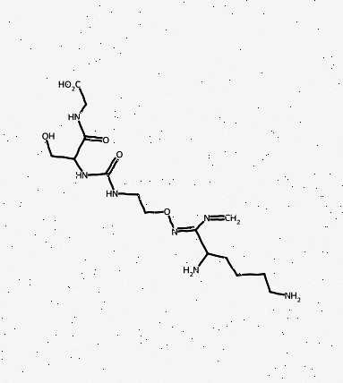 C=N/C(=N\OCCNC(=O)NC(CO)C(=O)NCC(=O)O)C(N)CCCCN